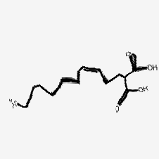 CCCCCC/C=C\CC(C(=O)O)C(=O)O